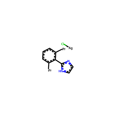 CC(C)c1cccc(C(C)C)c1-c1ncc[nH]1.[Cl][Ag]